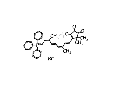 CC(C=CC1=C(C)C(=O)C(=O)C1(C)C)=CC=CC(C)=CC[P+](c1ccccc1)(c1ccccc1)c1ccccc1.[Br-]